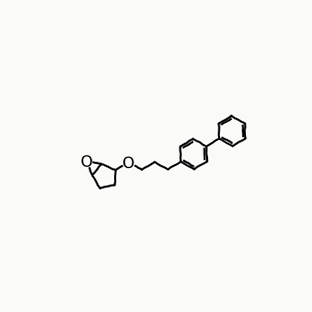 c1ccc(-c2ccc(CCCOC3CCC4OC34)cc2)cc1